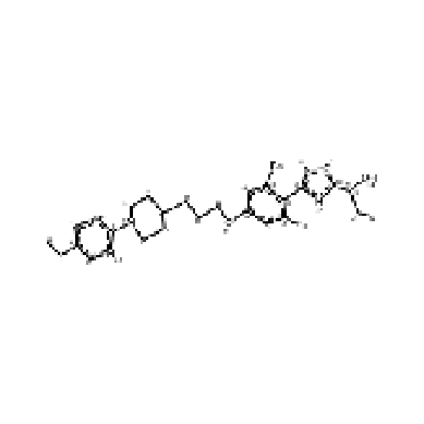 CCc1cnc(N2CCC(CCCOc3cc(F)c(-c4noc([C@@H](O)CC)n4)c(F)c3)CC2)nc1